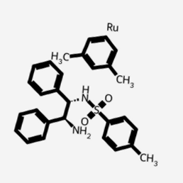 Cc1ccc(S(=O)(=O)N[C@@H](c2ccccc2)[C@@H](N)c2ccccc2)cc1.Cc1cccc(C)c1.[Ru]